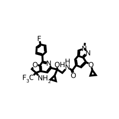 Cn1cc2cc(C(=O)NCC(O)(c3cc4c(c(-c5ccc(F)cc5)n3)OCC4(N)C(F)(F)F)C3CC3)cc(OC3CC3)c2n1